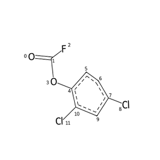 O=C(F)Oc1ccc(Cl)cc1Cl